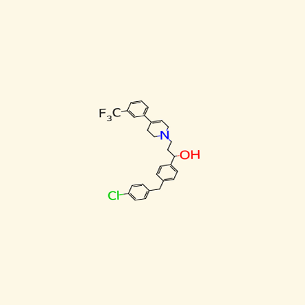 OC(CCN1CC=C(c2cccc(C(F)(F)F)c2)CC1)c1ccc(Cc2ccc(Cl)cc2)cc1